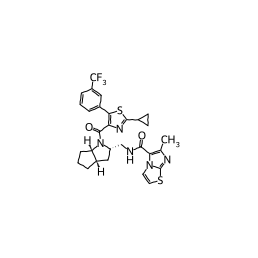 Cc1nc2sccn2c1C(=O)NC[C@@H]1C[C@@H]2CCC[C@@H]2N1C(=O)c1nc(C2CC2)sc1-c1cccc(C(F)(F)F)c1